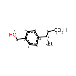 CC[C@@H](CC(=O)O)c1ccc(CO)cc1